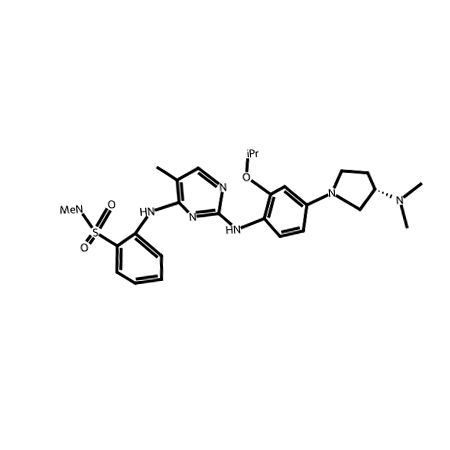 CNS(=O)(=O)c1ccccc1Nc1nc(Nc2ccc(N3CC[C@H](N(C)C)C3)cc2OC(C)C)ncc1C